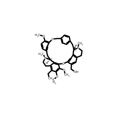 CCc1c2c3c(c(OC)c1OC)Oc1cc4c(cc1CO)CCN(C)[C@H]4Cc1ccc(cc1)Oc1cc(ccc1OC)C[C@@H]3N(C)CC2